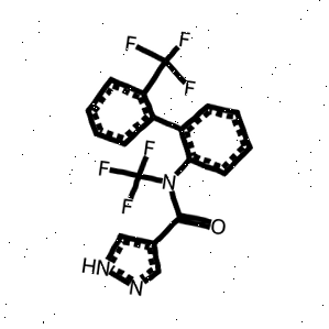 O=C(c1cn[nH]c1)N(c1ccccc1-c1ccccc1C(F)(F)F)C(F)(F)F